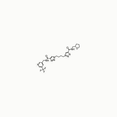 O=C(NCc1cncc(C(F)(F)F)c1)c1cn(CCCCn2cc(C(=O)NCC3CCCO3)nn2)nn1